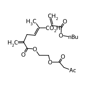 C=C(CC=C(C)C(=O)O)C(=O)OCCOC(=O)CC(C)=O.C=CC(=O)OCCCC